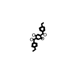 CCc1ccc(C(=O)C2=CC(=O)C(C(=O)c3ccc(CC)cc3)=CC2=O)cc1